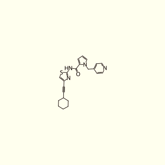 O=C(Nc1nc(C#CC2CCCCC2)cs1)c1cccn1Cc1ccncc1